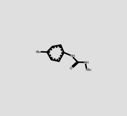 CCCCNC(=O)Nc1ccc(C(C)(C)C)cc1